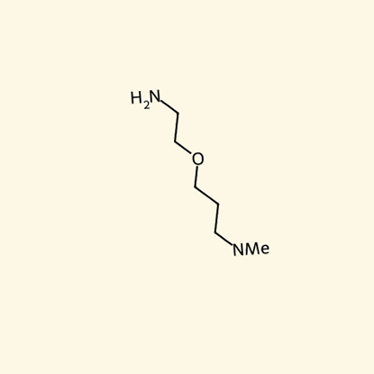 CNCCCOCCN